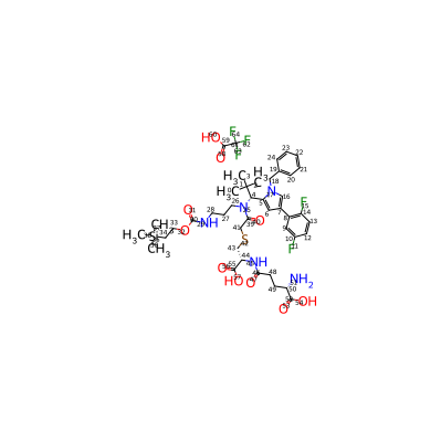 CC(C)(C)[C@H](c1cc(-c2cc(F)ccc2F)cn1Cc1ccccc1)N(CCCNC(=O)OCC[Si](C)(C)C)C(=O)CSC[C@H](NC(=O)CC[C@H](N)C(=O)O)C(=O)O.O=C(O)C(F)(F)F